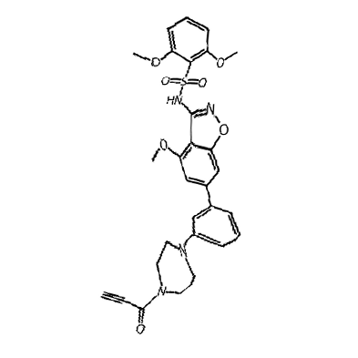 C#CC(=O)N1CCN(c2cccc(-c3cc(OC)c4c(NS(=O)(=O)c5c(OC)cccc5OC)noc4c3)c2)CC1